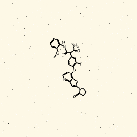 COc1ccccc1NC(=O)C(C(N)=O)c1ccc(Oc2ccnc3cc(N4CCCC4=O)sc23)c(F)c1